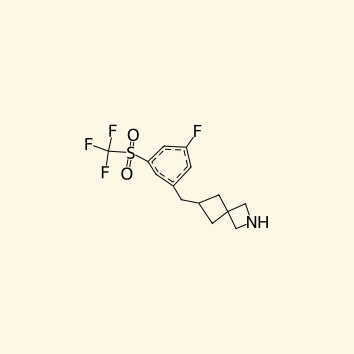 O=S(=O)(c1cc(F)cc(CC2CC3(CNC3)C2)c1)C(F)(F)F